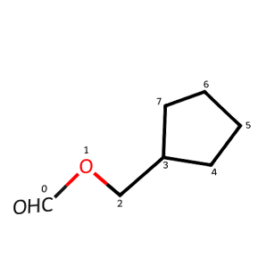 O=COCC1CCCC1